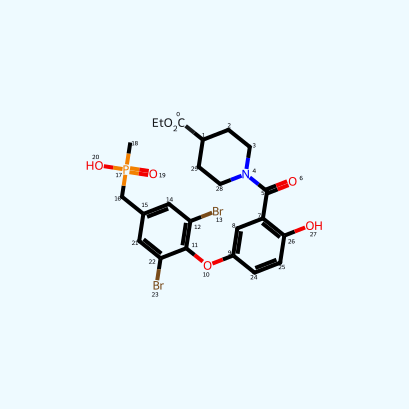 CCOC(=O)C1CCN(C(=O)c2cc(Oc3c(Br)cc(CP(C)(=O)O)cc3Br)ccc2O)CC1